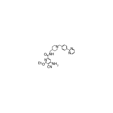 CCOc1nc(C(=O)NCC2CCN(Cc3ccc(-c4ncccn4)cc3)CC2)cc(N)c1C#N